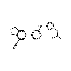 N#Cc1cc(-c2ccnc(Nc3cnn(CC(F)F)c3)n2)cc2c1NCC2